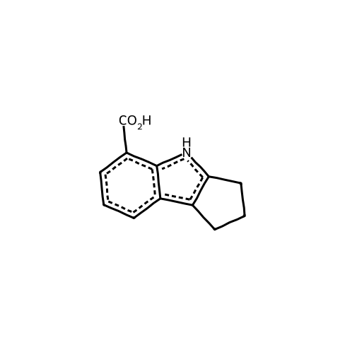 O=C(O)c1cccc2c3c([nH]c12)CCC3